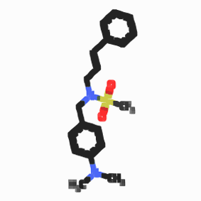 CN(C)c1ccc(CN(CC=Cc2ccccc2)S(=O)(=O)C(F)(F)F)cc1